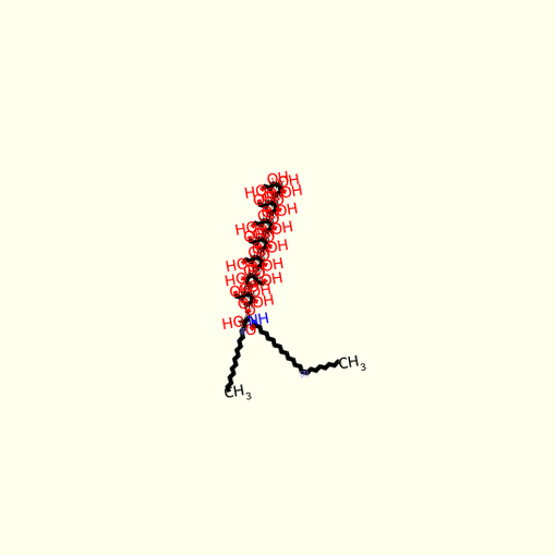 CCCCCCCC/C=C\CCCCCCCCCCCCCC(=O)N[C@@H](CO[C@@H]1OC(CO)[C@@H](O[C@@H]2OC(CO)[C@H](O[C@@H]3OC(CO)[C@H](O)[C@H](O[C@H]4OC(CO)[C@H](O)[C@H](O[C@H]5OC(CO)[C@H](O)[C@H](O[C@H]6OC(CO)[C@H](O)[C@H](O[C@H]7OC(CO)[C@H](O)[C@H](O)C7O)C6O)C5O)C4O)C3O)[C@H](O)C2O)[C@H](O)C1O)[C@H](O)/C=C/CCCCCCCCCCCCC